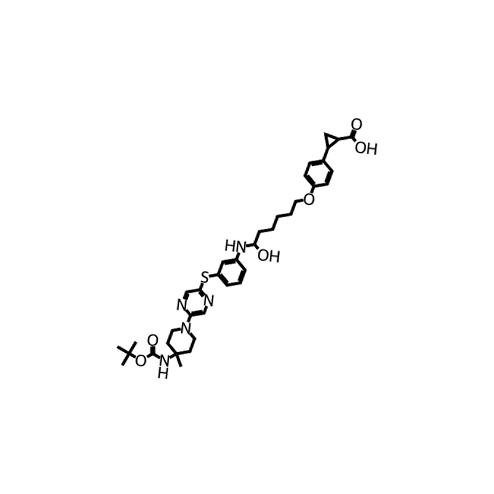 CC1(NC(=O)OC(C)(C)C)CCN(c2cnc(Sc3cccc(NC(O)CCCCCOc4ccc(C5CC5C(=O)O)cc4)c3)cn2)CC1